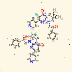 CC1(C)CN(CC(=O)c2ccccc2)c2nc(-c3ccncc3)c(F)c(=O)n2C1.O=c1cc(-c2ccncc2)nc2n1CC(F)(F)CN2CC(O)c1ccccc1